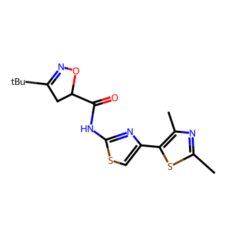 Cc1nc(C)c(-c2csc(NC(=O)C3CC(C(C)(C)C)=NO3)n2)s1